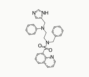 O=S(=O)(c1cccc2cccnc12)N(CCN(Cc1cnc[nH]1)c1ccccc1)Cc1ccccc1